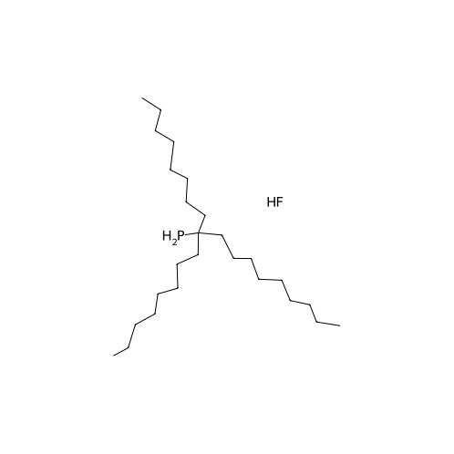 CCCCCCCCCC(P)(CCCCCCCC)CCCCCCCC.F